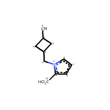 N#CC1CC(Cn2cccc2C(=O)O)C1